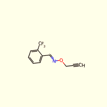 C#CCON=[C]c1ccccc1C(F)(F)F